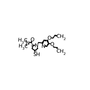 C=CCOc1cnc(CN2C[C@@H](S)C[C@H]2C(=O)N(C)C)cc1OCC=C